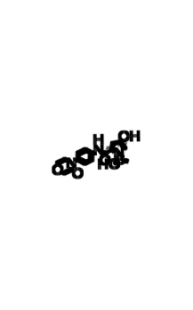 CB(O)N1C[C@H](O)C[C@@H]1C(=O)Nc1ccc(N2CCOCC2=O)cc1